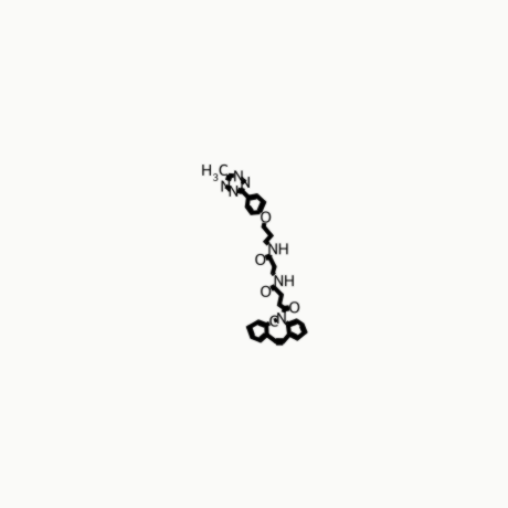 Cc1nnc(-c2ccc(OCCCNC(=O)CCNC(=O)CCC(=O)N3Cc4ccccc4C#Cc4ccccc43)cc2)nn1